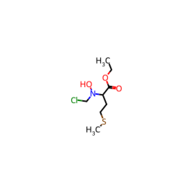 CCOC(=O)C(CCSC)N(O)CCl